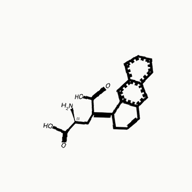 N[C@@H](CC(C(=O)O)=C1CC=Cc2cc3ccccc3cc21)C(=O)O